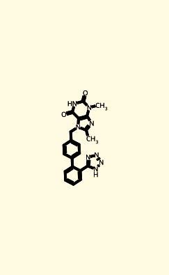 Cc1nc2c(c(=O)[nH]c(=O)n2C)n1Cc1ccc(-c2ccccc2-c2nnn[nH]2)cc1